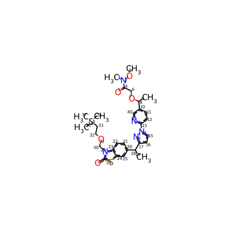 CON(C)C(=O)COC(C)c1ccc(-n2ccc(C(C)c3ccc4c(c3)sc(=O)n4COCC[Si](C)(C)C)n2)nc1